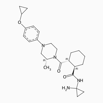 C[C@@H]1CN(c2ccc(OC3CC3)cc2)CCN1C(=O)[C@@H]1CCCC[C@H]1C(=O)NC1(N)CC1